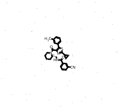 Cc1cccc(-c2sc(C3CC3)nc2C(=O)N2CCCC[C@H]2CNC(=O)c2cccc(C#N)c2)c1